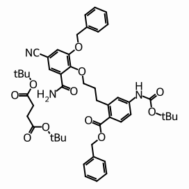 CC(C)(C)OC(=O)CCC(=O)OC(C)(C)C.CC(C)(C)OC(=O)Nc1ccc(C(=O)OCc2ccccc2)c(CCCOc2c(OCc3ccccc3)cc(C#N)cc2C(N)=O)c1